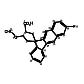 O=COCCC1(CCC(=O)O)c2ccccc2-c2nc3cc(F)ccc3nc21